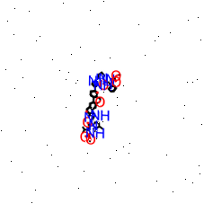 COC(=O)N[C@H](C(=O)N1[C@H](C)C(C)C[C@H]1c1nc2ccc3cc4c(cc3c2[nH]1)OCc1cc(-c2cnc([C@@H]3CCCN3C(=O)[C@H](NC(=O)OC)c3ccccc3)[nH]2)ccc1-4)C(C)C